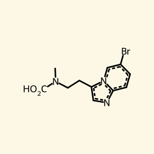 CN(CCc1cnc2ccc(Br)cn12)C(=O)O